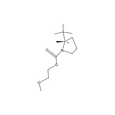 COCCOC(=O)N1CCC[C@@]1(C)C(C)(C)C